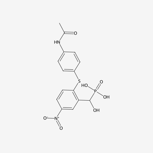 CC(=O)Nc1ccc(Sc2ccc([N+](=O)[O-])cc2C(O)P(=O)(O)O)cc1